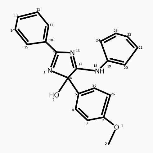 COc1ccc(C2(O)N=C(c3ccccc3)N=C2Nc2ccccc2)cc1